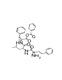 CC(C)CC(NC(=O)[C@@H](N)CCc1ccccc1)C(=O)N[C@@H](Cc1ccccc1)C(=O)OC(=O)c1ccccc1